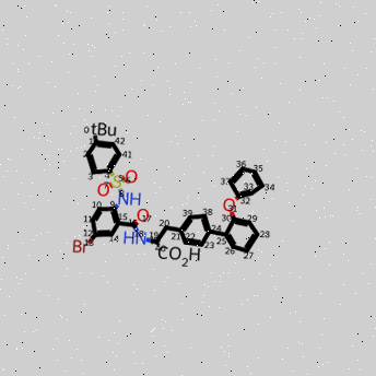 CC(C)(C)c1ccc(S(=O)(=O)Nc2ccc(Br)cc2C(=O)N[C@@H](Cc2ccc(-c3ccccc3Oc3ccccc3)cc2)C(=O)O)cc1